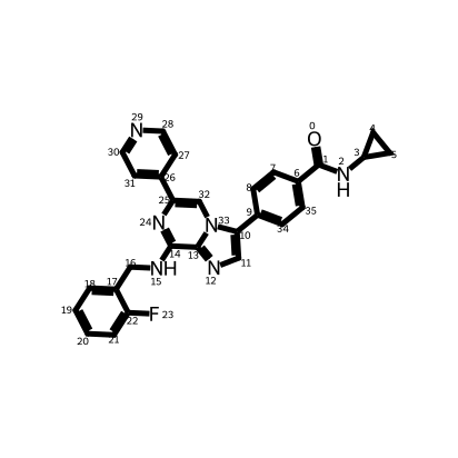 O=C(NC1CC1)c1ccc(-c2cnc3c(NCc4ccccc4F)nc(-c4ccncc4)cn23)cc1